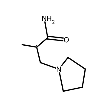 C[C](CN1CCCC1)C(N)=O